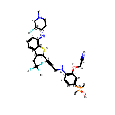 CN1CC[C@H](Nc2cccc3c(CC(F)(F)F)c(C#CCNc4ccc(P(C)(C)=O)cc4OCC#N)sc23)[C@@H](F)C1